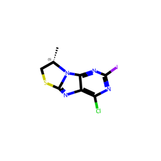 C[C@H]1CSc2nc3c(Cl)nc(I)nc3n21